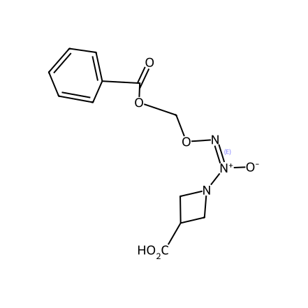 O=C(OCO/N=[N+](/[O-])N1CC(C(=O)O)C1)c1ccccc1